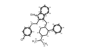 CCn1c(COc2ccc(Cl)cc2)c(CN2CCC(N(C)C)CC2c2ccccc2)c2ccccc21